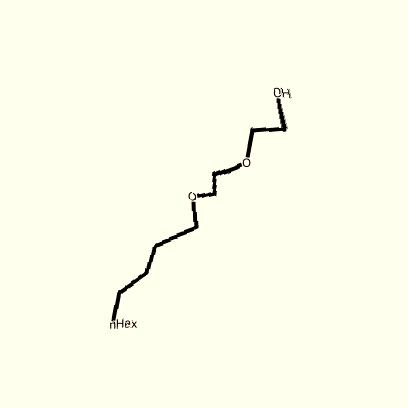 CCCCCCCCCCOCCOCCO